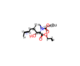 C=CCOC(=O)[C@H]([C@H](O)[C@H](C)C/C=C/C)N(C)C(=O)OC(C)(C)C